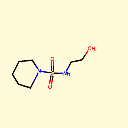 O=S(=O)(NCCO)N1CCCCC1